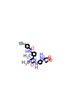 Cc1c(NC(=O)c2ccc(C(C)(C)C)cc2)cccc1-c1cn(C)c(=O)c(Nc2ccc(N3CCS(=O)(=O)CC3)c(N)c2)n1